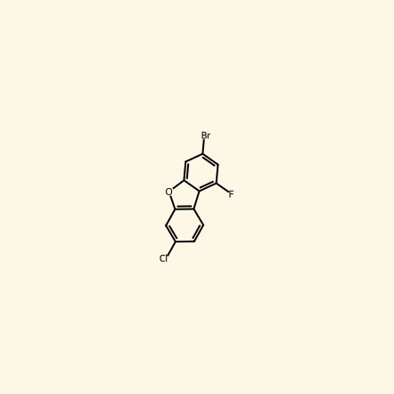 Fc1cc(Br)cc2oc3cc(Cl)ccc3c12